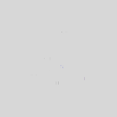 CSC1=[N+](C(C)(C)C)CCS1.[I-]